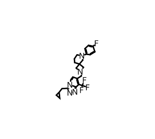 Fc1ccc(N2CCCC3(CN(Cc4ccn5c(CC6CC6)nnc5c4C(F)(F)F)C3)C2)cc1